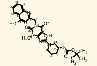 Cc1nc(Cn2c(=O)c3[nH]c(N4CCC[C@@H](NC(=O)OC(C)(C)C)C4)nc3n(C)c2=O)nc2ccccc12